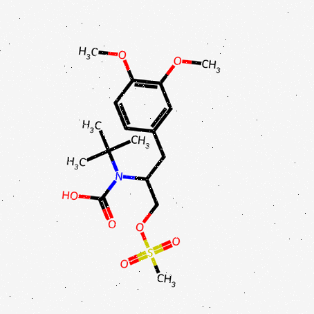 COc1ccc(CC(COS(C)(=O)=O)N(C(=O)O)C(C)(C)C)cc1OC